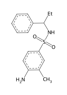 CCC(NS(=O)(=O)c1ccc(N)c(C)c1)c1ccccc1